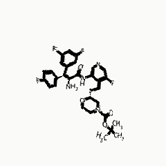 CC(C)(C)OC(=O)N1CCO[C@H](CCc2c(F)cncc2NC(=O)[C@@H](N)[C@@H](c2ccc(F)cc2)c2cc(F)cc(F)c2)C1